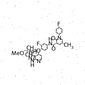 COCC(C)(C)Nc1n[nH]c2nccc(Oc3ccc(NC(=O)c4cc(C)cn(-c5ccc(F)cc5)c4=O)cc3F)c12